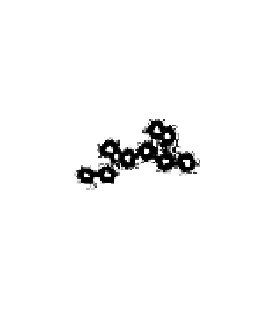 c1ccc(-c2cccc(-n3c4ccccc4c4cc(-c5ccc6c(c5)c5ccc7c8ccccc8sc7c5n6-c5cccc6ccccc56)ccc43)c2)cc1